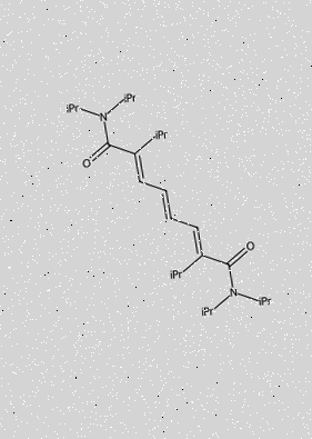 CC(C)\C(=C/C=C/C=C(/C(=O)N(C(C)C)C(C)C)C(C)C)C(=O)N(C(C)C)C(C)C